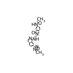 CCC(=O)Nc1ccc2c(c1)C(=O)N(CCNc1nccc3ccc(-c4noc(C)n4)cc13)C2